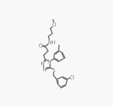 COCCCNC(=O)CCc1nnc(SCc2cccc(Cl)c2)n1-c1cccc(C)c1